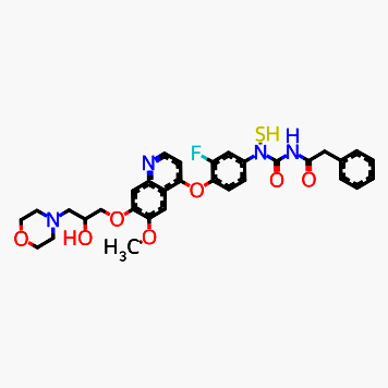 COc1cc2c(Oc3ccc(N(S)C(=O)NC(=O)Cc4ccccc4)cc3F)ccnc2cc1OCC(O)CN1CCOCC1